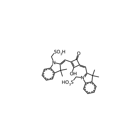 CC1(C)C(=CC2=C(O)C(=CC3=[N+](CS(=O)(=O)O)c4ccccc4C3(C)C)C2=O)N(CS(=O)(=O)O)c2ccccc21